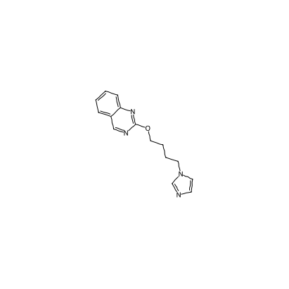 c1ccc2nc(OCCCCn3ccnc3)ncc2c1